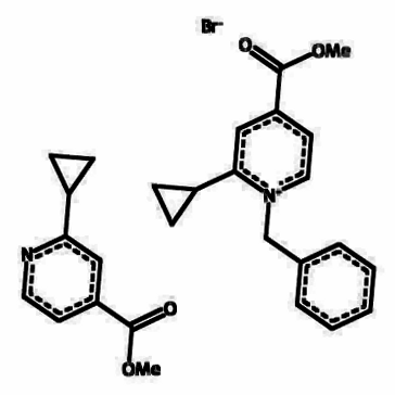 COC(=O)c1cc[n+](Cc2ccccc2)c(C2CC2)c1.COC(=O)c1ccnc(C2CC2)c1.[Br-]